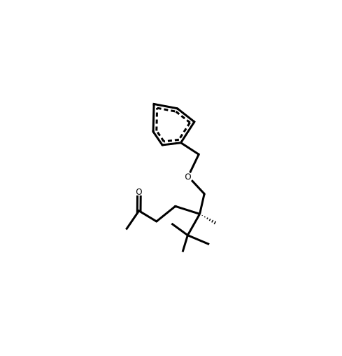 CC(=O)CC[C@@](C)(COCc1ccccc1)C(C)(C)C